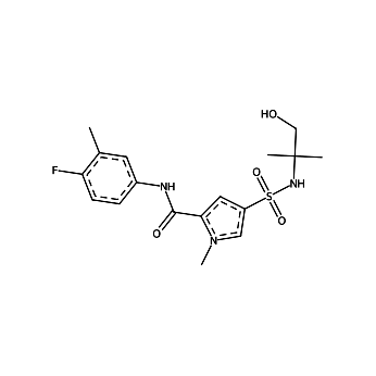 Cc1cc(NC(=O)c2cc(S(=O)(=O)NC(C)(C)CO)cn2C)ccc1F